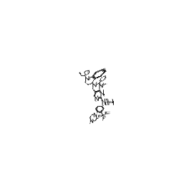 C=CC(=O)N1CCC(N2Cc3cnc(Nc4ccc(N5CCN(C)CC5)c(C(F)(F)F)c4)nc3N(C)C2=O)c2ccccc21